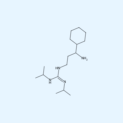 CC(C)N=C(NCCC(N)C1CCCCC1)NC(C)C